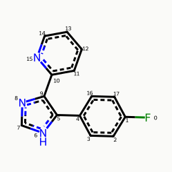 Fc1ccc(-c2[nH]cnc2-c2ccccn2)cc1